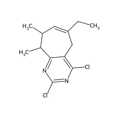 CCC1=CC(C)C(C)c2nc(Cl)nc(Cl)c2C1